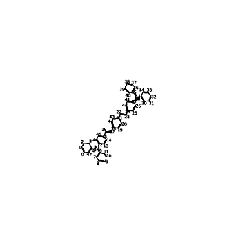 C1=CCCC(N(c2ccccc2)c2ccc(/C=C/c3ccc(/C=C/c4ccc(N(c5ccccc5)c5ccccc5)cc4)cc3)cc2)=C1